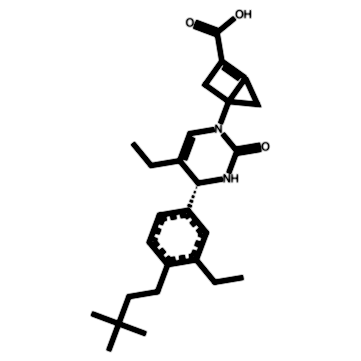 CCC1=CN(C23CC(C(=O)O)=C2C3)C(=O)N[C@@H]1c1ccc(CCC(C)(C)C)c(CC)c1